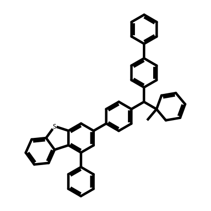 CC1(C(c2ccc(-c3ccccc3)cc2)c2ccc(-c3cc(-c4ccccc4)c4c(c3)sc3ccccc34)cc2)C=CC=CC1